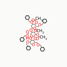 CO[C@@H]1[C@@H](OC(C)=O)[C@H](O[C@H]2[C@H](O)[C@@H](OCc3ccccc3)CO[C@@H]2COCc2ccccc2)O[C@H](C(=O)OCc2ccccc2)[C@H]1O[C@@H]1C[C@@H](OCc2ccccc2)[C@H](OC(C)=O)[C@@H](COCc2ccccc2)O1